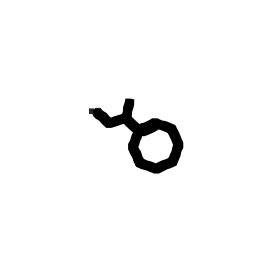 [CH2]CC(C)C1=CCCCCCC1